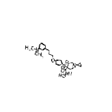 CN(C)c1cccc(CCCOc2ccc(S(=O)(=O)C3(C(=O)NO)CCN(C4CC4)CC3)cc2)c1